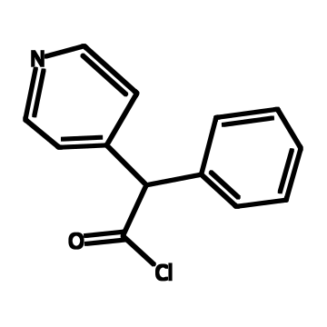 O=C(Cl)C(c1ccccc1)c1ccncc1